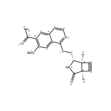 COc1cc2c(OC[C@H]3NC(=O)[C@@H]4C#C[C@H]34)nccc2cc1C(N)=O